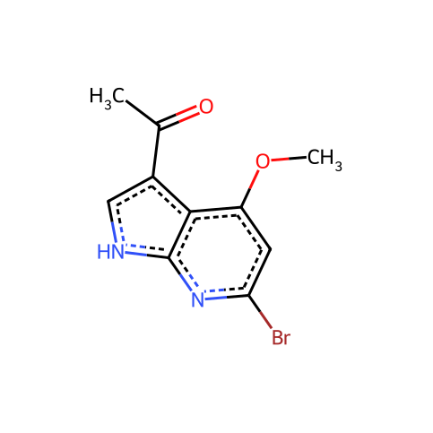 COc1cc(Br)nc2[nH]cc(C(C)=O)c12